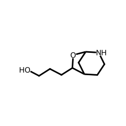 OCCCC1OC2CC1CCN2